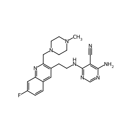 CN1CCN(Cc2nc3cc(F)ccc3cc2CCNc2ncnc(N)c2C#N)CC1